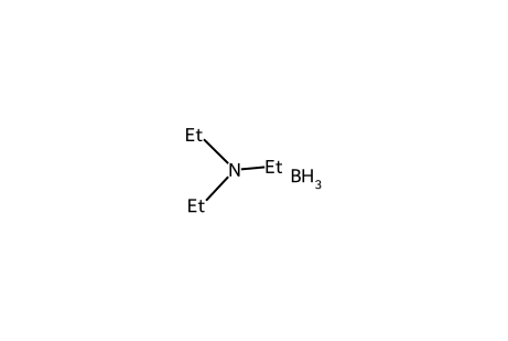 B.CCN(CC)CC